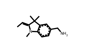 CC=C1N(C)c2ccc(CN)cc2C1(C)C